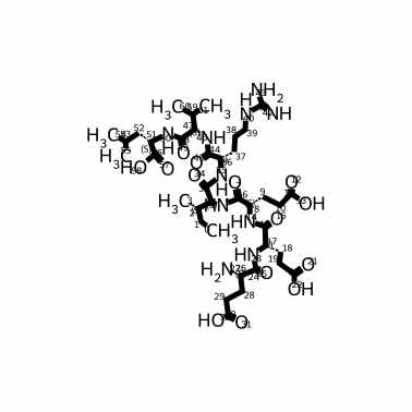 CC[C@H](C)[C@H](NC(=O)[C@H](CCC(=O)O)NC(=O)[C@H](CCC(=O)O)NC(=O)[C@@H](N)CCC(=O)O)C(=O)N[C@@H](CCCNC(=N)N)C(=O)N[C@H](C(=O)N[C@@H](CC(C)C)C(=O)O)C(C)C